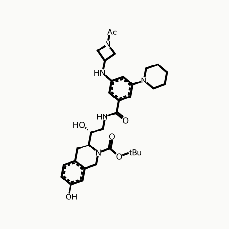 CC(=O)N1CC(Nc2cc(C(=O)NC[C@@H](O)[C@@H]3Cc4ccc(O)cc4CN3C(=O)OC(C)(C)C)cc(N3CCCCC3)c2)C1